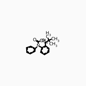 CC(=O)N(c1ccccc1)c1ccccc1C(=O)C(C)(C)C